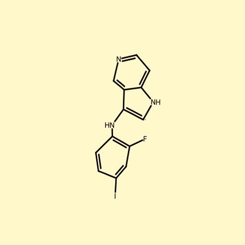 Fc1cc(I)ccc1Nc1[c][nH]c2ccncc12